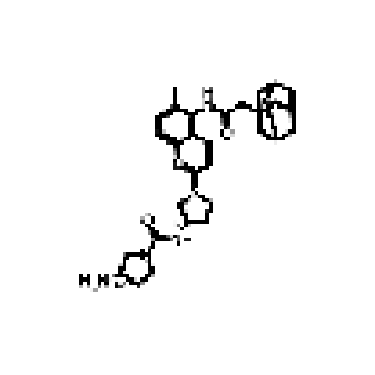 Cc1ccc2nc(N3CC[C@H](NC(=O)N4CC[C@H](N)C4)C3)ccc2c1NC(=O)CC12CC3CC(CC(C3)C1)C2